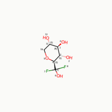 O[C@H]1[C@H](O)[C@@H](C(O)(F)F)O[CH][C@@H]1O